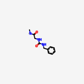 C[N]C(=O)CNC(=O)NCc1ccccc1